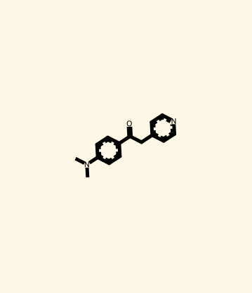 CN(C)c1ccc(C(=O)Cc2ccncc2)cc1